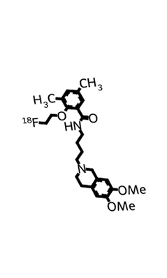 COc1cc2c(cc1OC)CN(CCCCNC(=O)c1cc(C)cc(C)c1OCC[18F])CC2